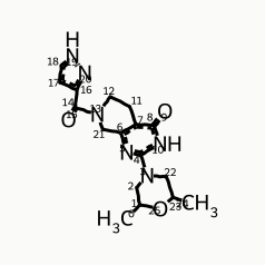 CC1CN(c2nc3c(c(=O)[nH]2)CCN(C(=O)c2cc[nH]n2)C3)CC(C)O1